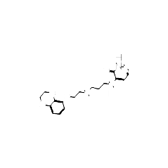 O=c1[nH]nccc1NCCCNCCOc1cccc2c1OCCO2